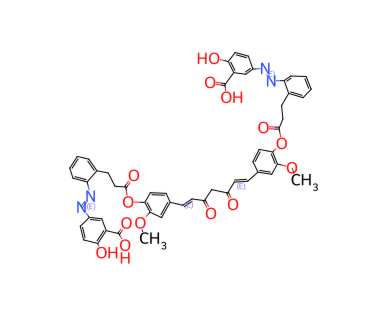 COc1cc(/C=C/C(=O)CC(=O)/C=C/c2ccc(OC(=O)CCc3ccccc3/N=N/c3ccc(O)c(C(=O)O)c3)c(OC)c2)ccc1OC(=O)CCc1ccccc1/N=N/c1ccc(O)c(C(=O)O)c1